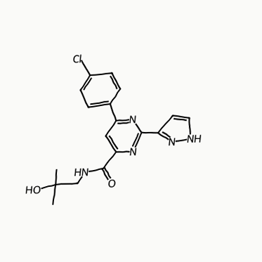 CC(C)(O)CNC(=O)c1cc(-c2ccc(Cl)cc2)nc(-c2cc[nH]n2)n1